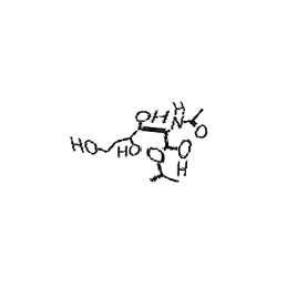 CC(=O)N/C(=C(\O)C(O)CCO)C(O)OC(C)C